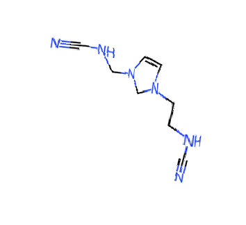 N#CNCCN1C=CN(CNC#N)C1